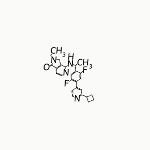 CCN1Cc2c(ccnc2N[C@@H](C)c2cc(F)c(-c3ccnc(C4CCC4)c3)cc2F)C1=O